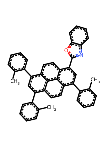 Cc1ccccc1-c1cc(-c2nc3ccccc3o2)c2ccc3c(-c4ccccc4C)cc(-c4ccccc4C)c4ccc1c2c34